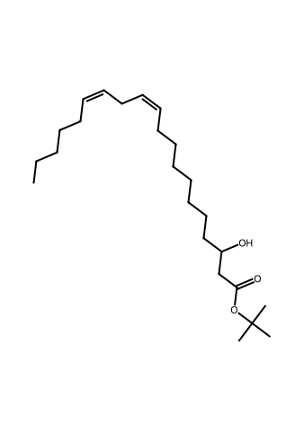 CCCCC/C=C\C/C=C\CCCCCCCC(O)CC(=O)OC(C)(C)C